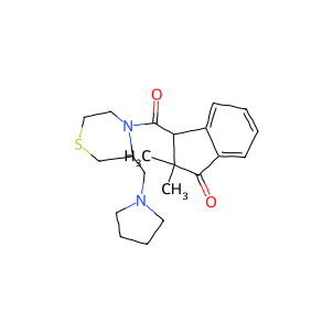 CC1(C)C(=O)c2ccccc2C1C(=O)N1CCSCC1CN1CCCC1